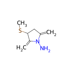 C=C1CC(SC)C(=C)N1N